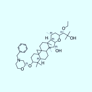 CCO[C@@H](C1C[C@@H](C)[C@H]2C(O1)[C@H](O)[C@@]1(C)C3CC[C@H]4C(C)(C)C(O[C@H]5CN(Cc6ccccc6)CCO5)CCC45CC35CCC21C)C(C)(C)O